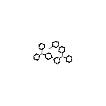 [Pd][c]1ccccc1.c1ccc(P(c2ccccc2)c2ccccc2)cc1.c1ccc(P(c2ccccc2)c2ccccc2)cc1